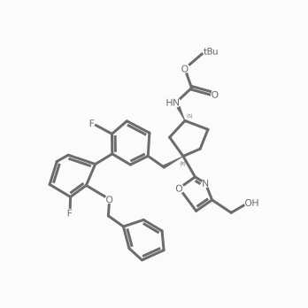 CC(C)(C)OC(=O)N[C@H]1CC[C@](Cc2ccc(F)c(-c3cccc(F)c3OCc3ccccc3)c2)(c2nc(CO)co2)C1